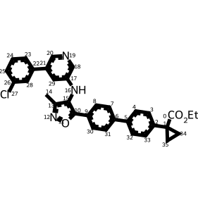 CCOC(=O)C1(c2ccc(-c3ccc(-c4onc(C)c4Nc4cncc(-c5cccc(Cl)c5)c4)cc3)cc2)CC1